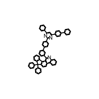 c1ccc(-c2ccc(-c3cc(-c4ccccc4)nc(-c4ccc(-c5cccc(-c6nc7ccccc7c7ccc8c(c67)-c6ccccc6C8(c6ccccc6)c6ccccc6)c5)cc4)n3)cc2)cc1